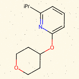 CC(C)c1cccc(OC2CCOCC2)n1